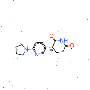 O=C1CC[C@H](c2ccc(N3CCCC3)nc2)C(=O)N1